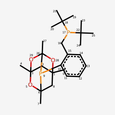 CC12CC3(C)OC(C)(C1)P(c1ccccc1CP(C(C)(C)C)C(C)(C)C)C(C)(O2)O3